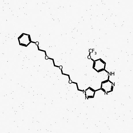 FC(F)(F)Oc1ccc(Nc2cc(-c3cnn(CCOCCOCCOCCOc4ccccc4)c3)ncn2)cc1